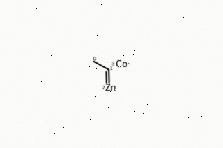 C[CH]=[Zn].[Co]